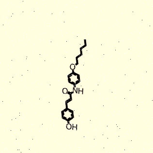 CCCCCCOc1ccc(NC(=O)C=Cc2ccc(O)cc2)cc1